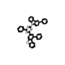 c1ccc(-c2ccc3c(c2)c2ccccc2n3-c2nc(-c3ccccc3)nc(-c3cc(-c4ccccc4)c4c(c3)oc3ccccc34)n2)cc1